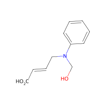 O=C(O)C=CCN(CO)c1ccccc1